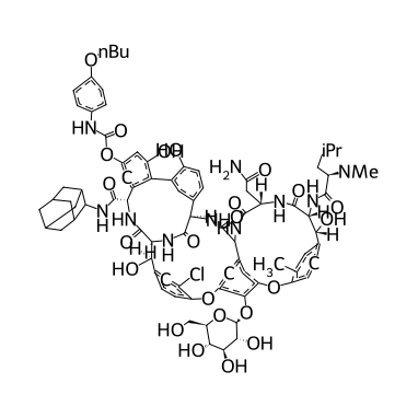 CCCCOc1ccc(NC(=O)Oc2cc(O)c3c(c2)[C@@H](C(=O)NC2C4CC5CC(C4)CC2C5)NC(=O)[C@H]2NC(=O)[C@H](NC(=O)C4NC(=O)[C@H](CC(N)=O)NC(=O)[C@H](NC(=O)[C@@H](CC(C)C)NC)[C@H](O)c5ccc(c(C)c5)Oc5cc4cc(c5O[C@@H]4O[C@H](CO)[C@@H](O)[C@H](O)[C@H]4O)Oc4ccc(cc4Cl)[C@H]2O)c2ccc(O)c-3c2)cc1